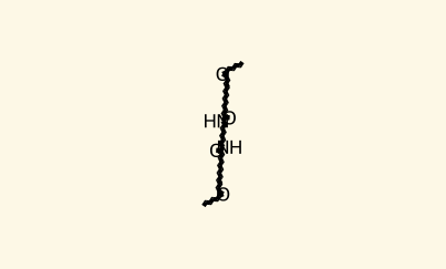 CCCCCC1OC1CC=CCCCCCCCC(=O)NCCCCCCNC(=O)CCCCCCCC=CCC1OC1CCCCC